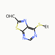 CCSc1ncnc2sc(C=O)nc12